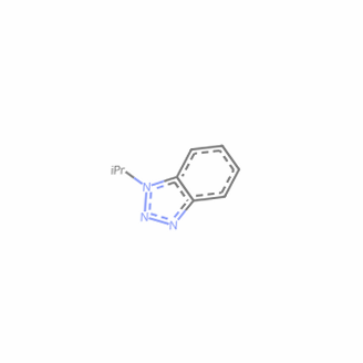 [CH2]C(C)n1nnc2ccccc21